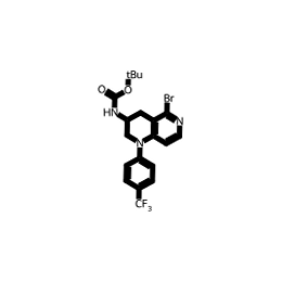 CC(C)(C)OC(=O)NC1Cc2c(ccnc2Br)N(c2ccc(C(F)(F)F)cc2)C1